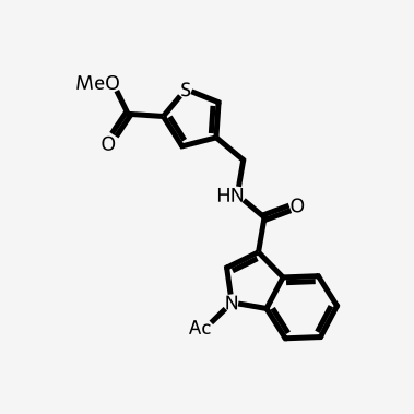 COC(=O)c1cc(CNC(=O)c2cn(C(C)=O)c3ccccc23)cs1